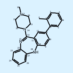 Cc1ccccc1-c1ccc2c(c1)C(N1CCN(C)CC1)=Nc1ccccc1N2